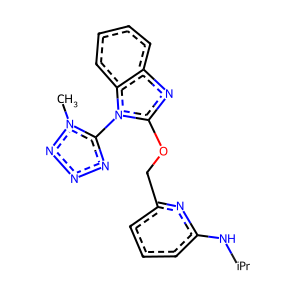 CC(C)Nc1cccc(COc2nc3ccccc3n2-c2nnnn2C)n1